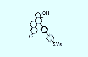 CSN1CCN(c2ccc(C3CC4(C)C(O)CCC4C4CCC5=CC(=O)CCC5C34)cc2)CC1